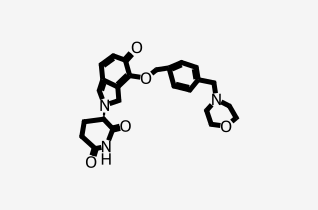 O=C1CC[C@H](N2C=C3C=CC(=O)C(OCc4ccc(CN5CCOCC5)cc4)=C3C2)C(=O)N1